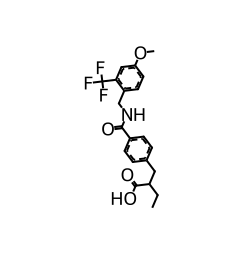 CCC(Cc1ccc(C(=O)NCc2ccc(OC)cc2C(F)(F)F)cc1)C(=O)O